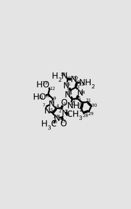 Cn1c(=O)c2c(ncn2CC(O)CO)n(C)c1=O.Nc1nc(N)c2nc(-c3ccccc3)c(N)nc2n1